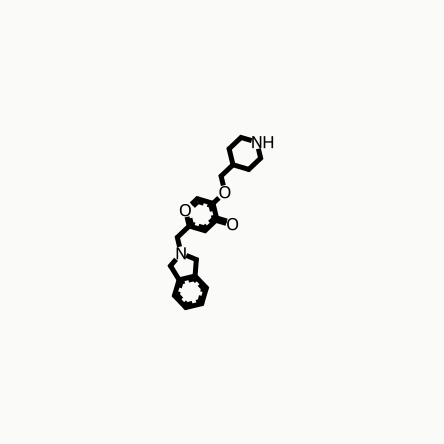 O=c1cc(CN2Cc3ccccc3C2)occ1OCC1CCNCC1